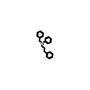 c1ccc(CCCN(Cc2ccccc2)c2ccccc2)cc1